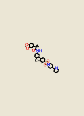 Cc1ccc(NC(=O)C2(c3ccc4c(c3)OCO4)CC2)cc1-c1ccc(S(=O)(=O)N2CCC(c3ccccn3)CC2)cc1